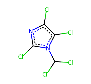 Clc1nc(Cl)n(C(Cl)Cl)c1Cl